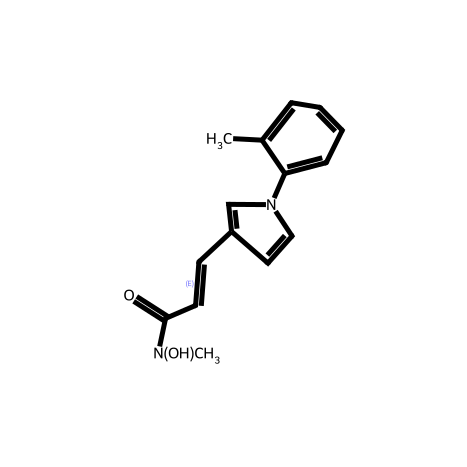 Cc1ccccc1-n1ccc(/C=C/C(=O)N(C)O)c1